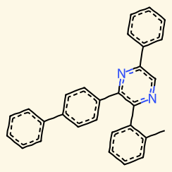 Cc1ccccc1-c1ncc(-c2ccccc2)nc1-c1ccc(-c2ccccc2)cc1